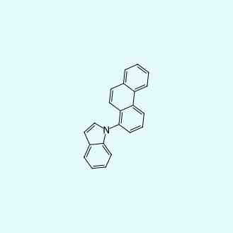 c1ccc2c(c1)ccc1c(-n3ccc4ccccc43)cccc12